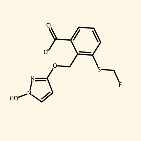 O=C(Cl)c1cccc(SCF)c1COc1ccn(O)n1